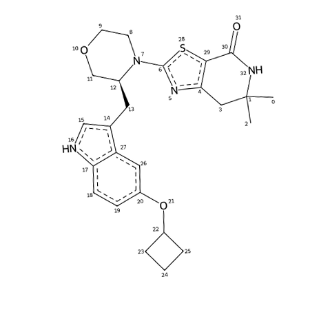 CC1(C)Cc2nc(N3CCOC[C@@H]3Cc3c[nH]c4ccc(OC5CCC5)cc34)sc2C(=O)N1